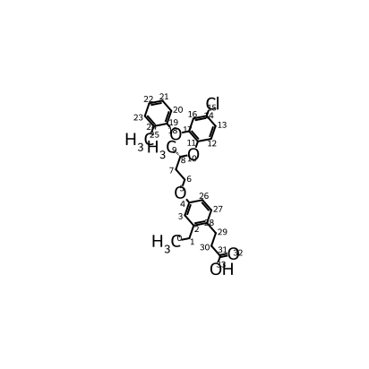 CCc1cc(OCC[C@H](C)Oc2ccc(Cl)cc2Oc2ccccc2C)ccc1CCC(=O)O